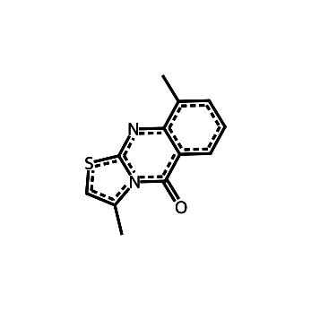 Cc1cccc2c(=O)n3c(C)csc3nc12